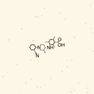 Cc1cc(C)c(C(=O)O)c(C)c1N[C@H]1CCN(c2ccccc2C#N)C[C@@H]1C